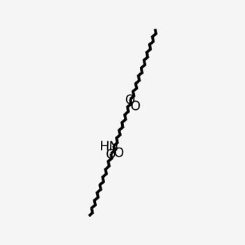 CCCCCCCCCCCCCCCCCCOC(=O)CCCCCCCCCCNC(=O)OCCCCCCCCCCCCCCCC